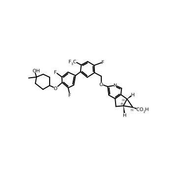 CC1(O)CCC(Oc2c(F)cc(-c3cc(COc4cc5c(cn4)[C@H]4[C@@H](C5)[C@@H]4C(=O)O)c(F)cc3C(F)(F)F)cc2F)CC1